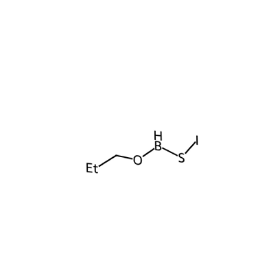 CCCOBSI